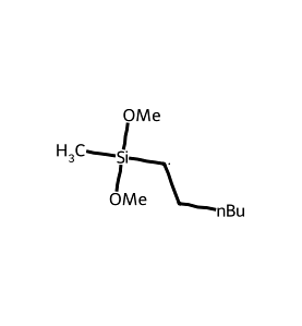 CCCCC[CH][Si](C)(OC)OC